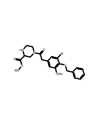 COc1cc(CC(=O)N2CCNC(C(=O)OC(C)(C)C)C2)cc(Br)c1OCc1ccccc1